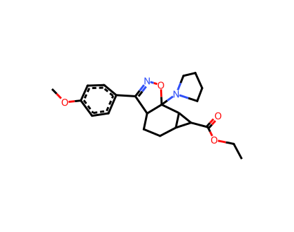 CCOC(=O)C1C2CCC3C(c4ccc(OC)cc4)=NOC3(N3CCCC3)C21